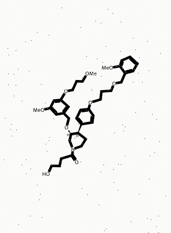 COCCCOc1cc(CO[C@H]2CN(C(=O)CCCO)CC[C@@H]2c2ccc(OCCCOCc3ccccc3OC)cc2)cc(OC)c1